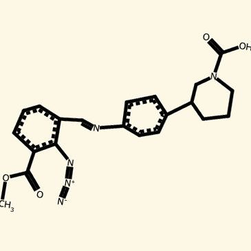 COC(=O)c1cccc(C=Nc2ccc(C3CCCN(C(=O)O)C3)cc2)c1N=[N+]=[N-]